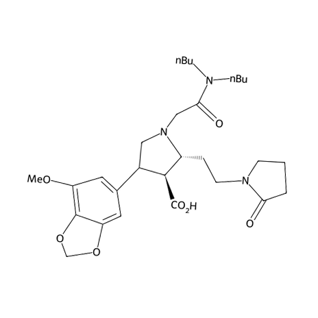 CCCCN(CCCC)C(=O)CN1CC(c2cc(OC)c3c(c2)OCO3)[C@H](C(=O)O)[C@H]1CCN1CCCC1=O